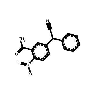 CC(=O)c1cc(C(C#N)c2ccccc2)ccc1[N+](=O)[O-]